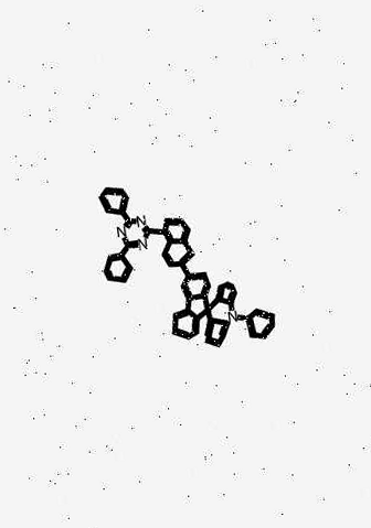 c1ccc(-c2nc(-c3ccccc3)nc(-c3cccc4cc(-c5ccc6c(c5)-c5ccccc5C65c6ccccc6N(c6ccccc6)c6ccccc65)ccc34)n2)cc1